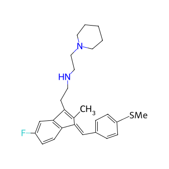 CSc1ccc(C=C2C(C)=C(CCNCCN3CCCCC3)c3cc(F)ccc32)cc1